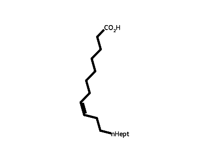 CCCCCCCCC/C=C\CCCCCCC(=O)O